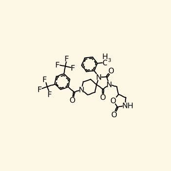 Cc1ccccc1N1C(=O)N(CC2CNC(=O)O2)C(=O)C12CCN(C(=O)c1cc(C(F)(F)F)cc(C(F)(F)F)c1)CC2